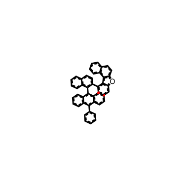 c1ccc(-c2c3ccccc3c(-c3c(-c4cccc5oc6ccc7ccccc7c6c45)ccc4ccccc34)c3ccccc23)cc1